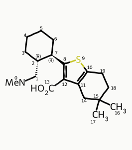 CNC[C@@H]1CCCC[C@H]1c1sc2c(c1C(=O)O)CC(C)(C)CC2